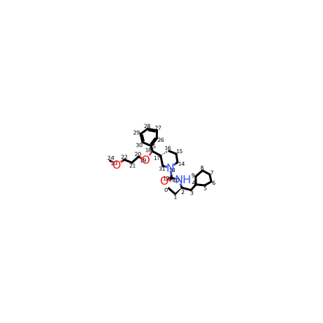 CC[C@H](CC1CCCCC1)NC(=O)N1CCC[C@@H]([C@@H](OCCCOC)c2ccccc2)C1